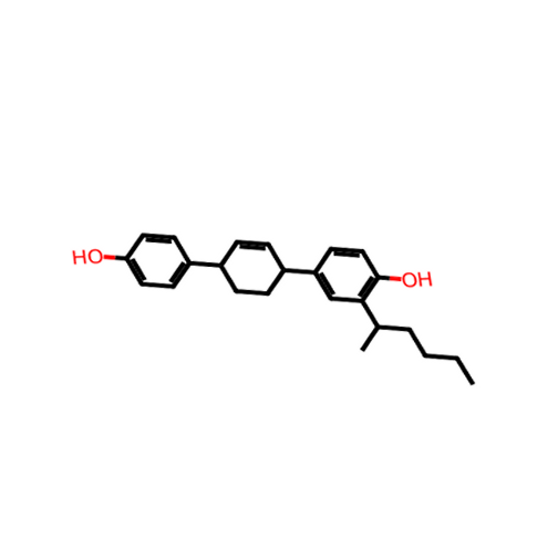 CCCCC(C)c1cc(C2C=CC(c3ccc(O)cc3)CC2)ccc1O